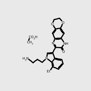 CC(=O)O.CCc1cccc2c(-c3nc4cc5c(cc4[nH]c3=O)OCCO5)cn(CCCN)c12